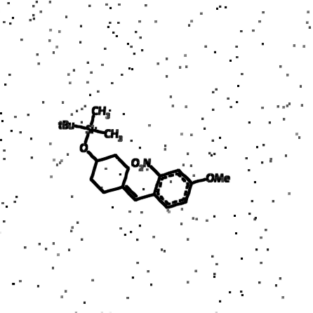 COc1ccc(C=C2CCC(O[Si](C)(C)C(C)(C)C)CC2)c([N+](=O)[O-])c1